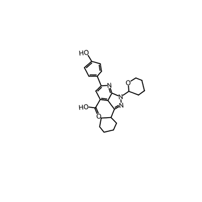 O=C(O)c1cc(-c2ccc(O)cc2)nc2c1c(C1CCCCC1)nn2C1CCCCO1